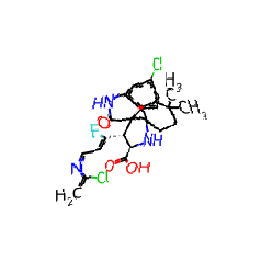 C=C(Cl)/N=C\C=C(/F)[C@H]1[C@H](C(=O)O)NC2(CCC(C)(C)CC2)C12C(=O)Nc1cc(Cl)ccc12